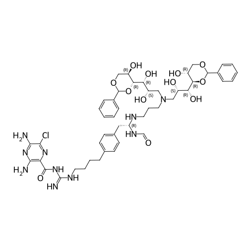 N=C(NCCCCc1ccc(C[C@@H](NC=O)NCCCN(C[C@H](O)[C@@H](O)[C@@H]2OC(c3ccccc3)OC[C@H]2O)C[C@H](O)[C@@H](O)[C@@H]2OC(c3ccccc3)OC[C@H]2O)cc1)NC(=O)c1nc(Cl)c(N)nc1N